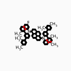 Cc1ccc(-c2ccc(N(C3=C4C=CC5=C6C(=CC=C(C=C3)C46)C(N(c3cccc(F)c3)c3ccc(-c4ccc(C)cc4C)cc3-c3ccccc3C)C=C5)c3cccc(F)c3)c(-c3ccc(C)cc3C)c2)c(C)c1